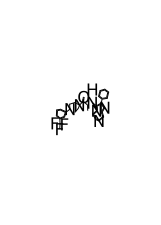 CC(Nc1c(-c2ccccc2)nc2cnccn12)C(=O)N1CCN(c2cccc(C(F)(F)F)c2)CC1